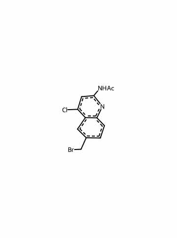 CC(=O)Nc1cc(Cl)c2cc(CBr)ccc2n1